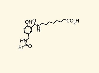 CCC(=O)NCc1ccc(O)c(C(=O)NCCCCCCCC(=O)O)c1